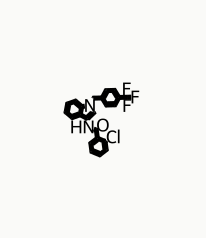 O=C(Nc1cn(Cc2ccc(C(F)(F)F)cc2)c2ccccc12)c1ccccc1Cl